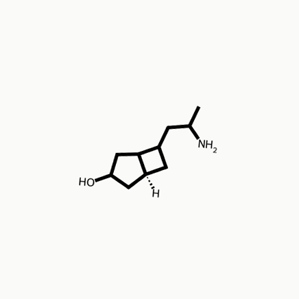 CC(N)CC1C[C@H]2CC(O)CC12